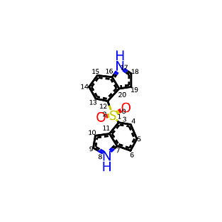 O=S(=O)(c1cccc2[nH]ccc12)c1cccc2[nH]ccc12